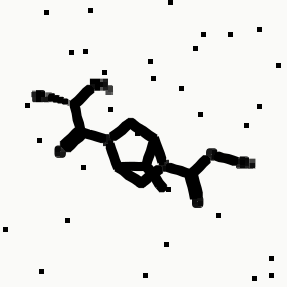 CC1C2CN(C(=O)[C@@H](N)C(C)(C)C)C1CN2C(=O)OC(C)(C)C